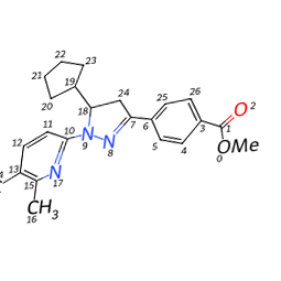 COC(=O)c1ccc(C2=NN(c3ccc(C#N)c(C)n3)C(C3CCCC3)C2)cc1